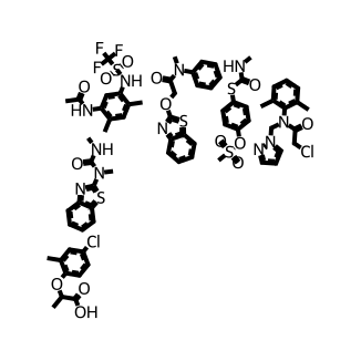 CC(=O)Nc1cc(NS(=O)(=O)C(F)(F)F)c(C)cc1C.CN(C(=O)COc1nc2ccccc2s1)c1ccccc1.CNC(=O)N(C)c1nc2ccccc2s1.CNC(=O)Sc1ccc(OS(C)(=O)=O)cc1.Cc1cc(Cl)ccc1OC(C)C(=O)O.Cc1cccc(C)c1N(Cn1cccn1)C(=O)CCl